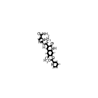 C[C@H](Nc1ncc(C(N)=O)[nH]1)c1cc2cc(Cl)c(O[C@H](C)c3ccccn3)cc2[nH]c1=O